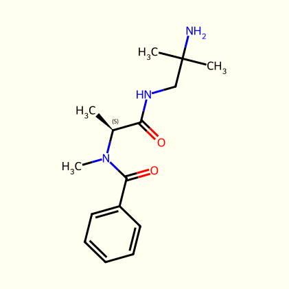 C[C@@H](C(=O)NCC(C)(C)N)N(C)C(=O)c1ccccc1